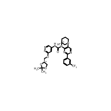 CC1(C)OC[C@H](COc2cc(NC(=O)N3c4nc(-c5cccc(C(F)(F)F)c5)ncc4N4CCC[C@H]3C4)cnn2)O1